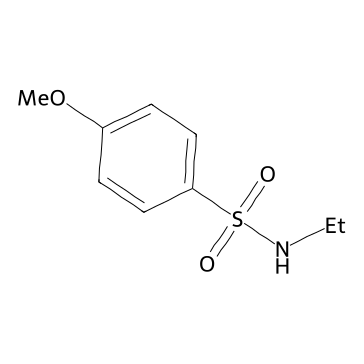 CCNS(=O)(=O)c1ccc(OC)cc1